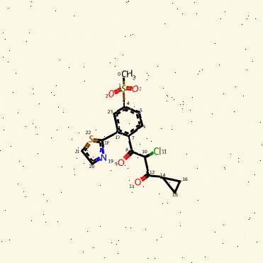 CS(=O)(=O)c1ccc(C(=O)C(Cl)C(=O)C2CC2)c(-c2nccs2)c1